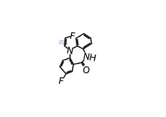 O=C1Nc2ccccc2N(/C=C\F)c2ccc(F)cc21